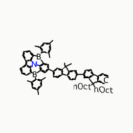 CCCCCCCCC1(CCCCCCCC)c2ccccc2-c2ccc(-c3ccc4c(c3)C(C)(C)c3cc(-c5cc6c7c(c5)B(c5c(C)cc(C)cc5C)c5cccc8c9cccc(c9n-7c58)B6c5c(C)cc(C)cc5C)ccc3-4)cc21